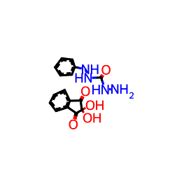 NNC(=O)NNc1ccccc1.O=C1c2ccccc2C(=O)C1(O)O